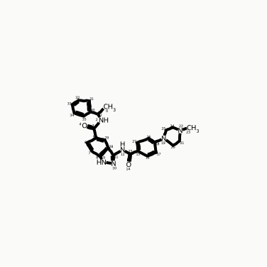 CC(NC(=O)c1ccc2[nH]nc(NC(=O)c3ccc(N4CCN(C)CC4)cc3)c2c1)c1ccccc1